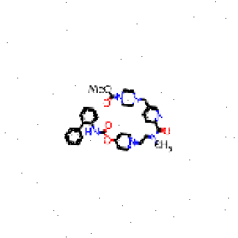 COC(=O)N1CCN(Cc2ccc(C(=O)N(C)CCN3CCC(OC(=O)Nc4ccccc4-c4ccccc4)CC3)nc2)CC1